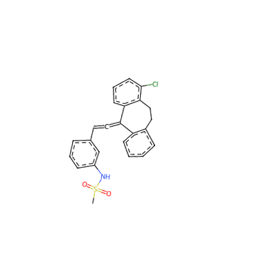 CS(=O)(=O)Nc1cccc(C=C=C2c3ccccc3CCc3c(Cl)cccc32)c1